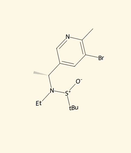 CCN([C@H](C)c1cnc(C)c(Br)c1)[S+]([O-])C(C)(C)C